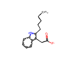 CCCCCc1[nH]c2ccccc2c1CC(=O)O